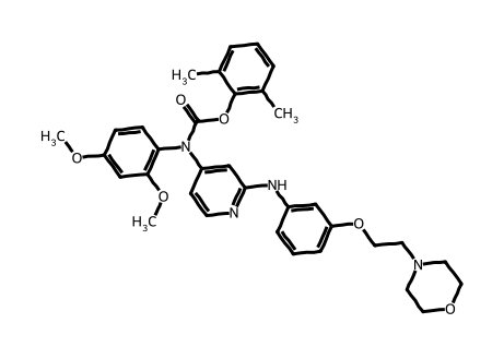 COc1ccc(N(C(=O)Oc2c(C)cccc2C)c2ccnc(Nc3cccc(OCCN4CCOCC4)c3)c2)c(OC)c1